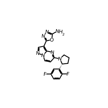 Nc1nnc(-c2cnn3ccc(N4CCC[C@@H]4c4cc(F)ccc4F)nc23)o1